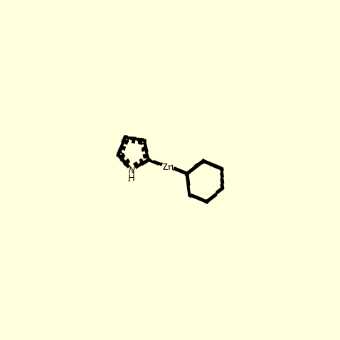 c1c[nH][c]([Zn][CH]2CCCCC2)c1